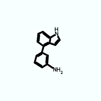 Nc1cccc(-c2cccc3[nH]ccc23)c1